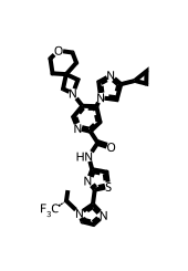 C[C@H](n1ccnc1-c1nc(NC(=O)c2cc(-n3cnc(C4CC4)c3)c(N3CC4(CCOCC4)C3)cn2)cs1)C(F)(F)F